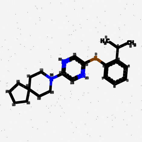 CC(C)c1ccccc1Sc1cnc(N2CCC3(CCCC3)CC2)cn1